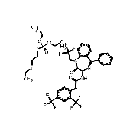 CCOP(=O)(OCC)SCCSCC.O=C(Cc1ccc(C(F)(F)F)cc1C(F)(F)F)N[C@@H]1N=C(c2ccccc2)c2ccccc2N(CC(F)(F)F)C1=O